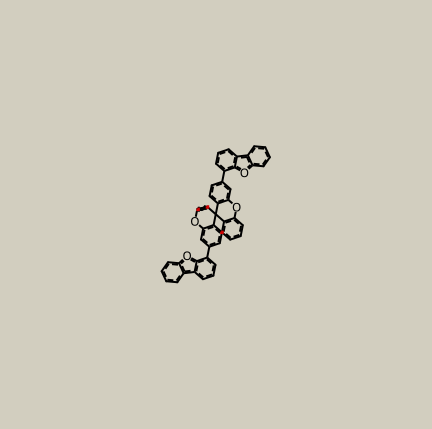 c1ccc2c(c1)Oc1cc(-c3cccc4c3oc3ccccc34)ccc1C21c2ccccc2Oc2cc(-c3cccc4c3oc3ccccc34)ccc21